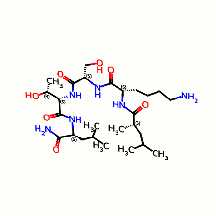 CC(C)C[C@H](NC(=O)[C@@H](NC(=O)[C@H](CO)NC(=O)[C@H](CCCCN)NC(=O)[C@@H](C)CC(C)C)[C@@H](C)O)C(N)=O